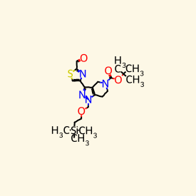 CC(C)(C)OC(=O)N1CCc2c(c(-c3csc(C=O)n3)nn2COCC[Si](C)(C)C)C1